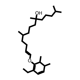 CCC1=C(O/C=C/CCC(C)CCCC(C)(O)CCCC(C)C)C(C)C(C)C=C1